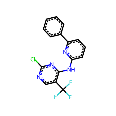 FC(F)(F)c1cnc(Cl)nc1Nc1cccc(-c2ccccc2)n1